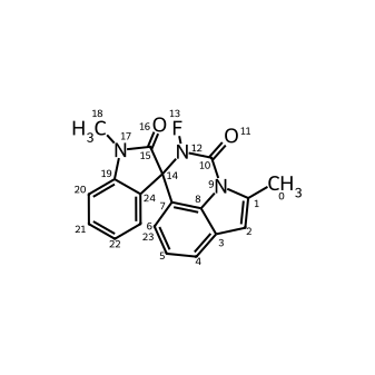 Cc1cc2cccc3c2n1C(=O)N(F)C31C(=O)N(C)c2ccccc21